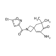 CCc1cc(C(=O)N2CC3(C=C(N)C(=O)C(C)(C)C3)C2)no1